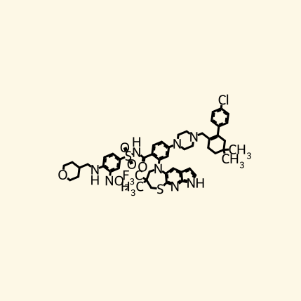 CC1(C)CCC(CN2CCN(c3ccc(C(=O)NS(=O)(=O)c4ccc(NCC5CCOCC5)c([N+](=O)[O-])c4)c(N4CC(C)(C(F)(F)F)CSc5nc6[nH]ccc6cc54)c3)CC2)=C(c2ccc(Cl)cc2)C1